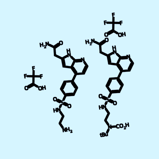 CC(C)(C)N(CCNS(=O)(=O)c1ccc(-c2ccnc3[nH]c(CC(N)=O)cc23)cc1)C(=O)O.NCCNS(=O)(=O)c1ccc(-c2ccnc3[nH]c(CC(N)=O)cc23)cc1.O=C(O)C(F)(F)F.O=C(O)C(F)(F)F